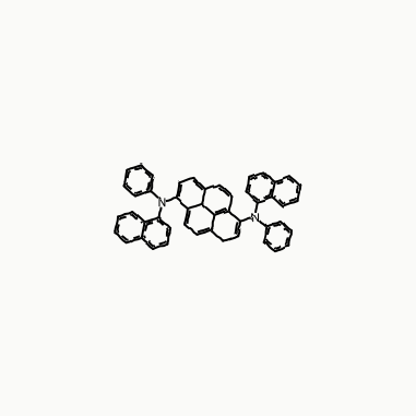 C1=CC2=C3C(=CC=C4C(N(c5ccccc5)c5cccc6ccccc56)=CC=C1C43)CC=C2N(c1ccccc1)c1cccc2ccccc12